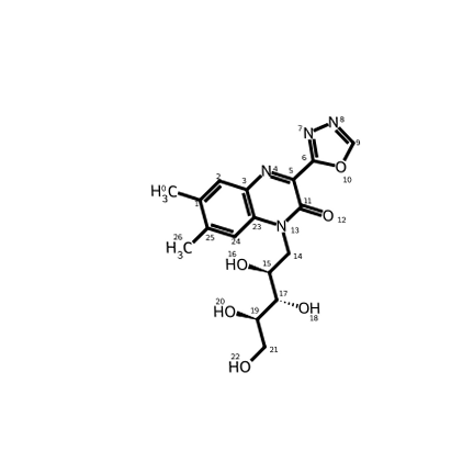 Cc1cc2nc(-c3nnco3)c(=O)n(C[C@H](O)[C@H](O)[C@H](O)CO)c2cc1C